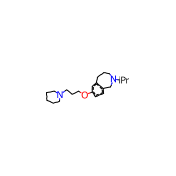 CC(C)N1CCCc2cc(OCCCN3CCCCC3)ccc2C1